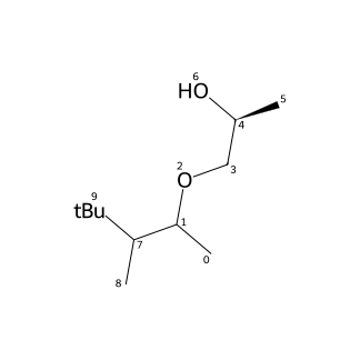 CC(OC[C@H](C)O)C(C)C(C)(C)C